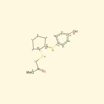 COC(=O)CS[C@@H]1CCCC[C@H]1Sc1ccc(O)cc1